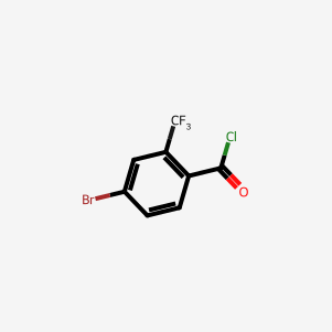 O=C(Cl)c1ccc(Br)cc1C(F)(F)F